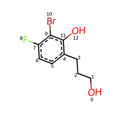 OCCCc1ccc(F)c(Br)c1O